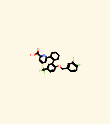 O=C(O)c1cccc(C2=C(c3cc(C(F)(F)F)ccc3OCc3ccc(F)c(F)c3)CCCC2)n1